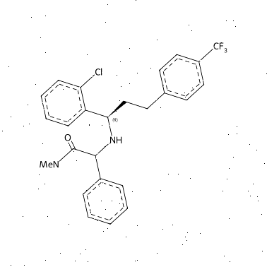 CNC(=O)C(N[C@H](CCc1ccc(C(F)(F)F)cc1)c1ccccc1Cl)c1ccccc1